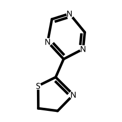 c1ncnc(C2=NCCS2)n1